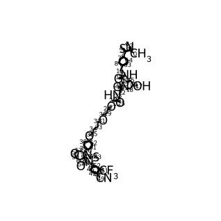 Cc1ncsc1-c1ccc(CNC(=O)[C@@H]2C[C@@H](O)CN2C(=O)CNC(=O)COCCCOCCCCOc2ccc(N3C(=S)N(c4ccc(C#N)c(C(F)(F)F)c4)C(=O)C34CCOCC4)cc2)cc1